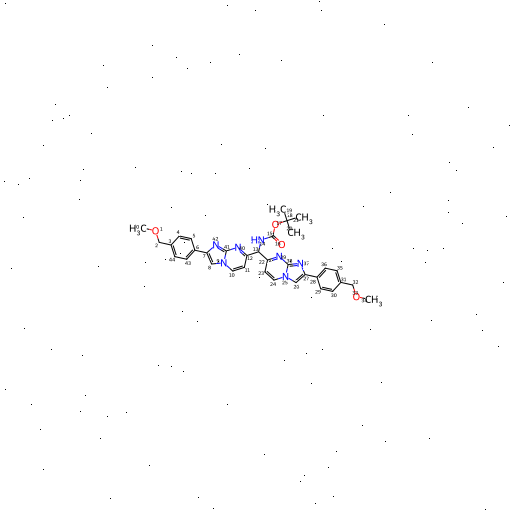 COCc1ccc(-c2cn3ccc(C(NC(=O)OC(C)(C)C)c4ccn5cc(-c6ccc(COC)cc6)nc5n4)nc3n2)cc1